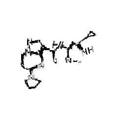 N=C(/C=C(\N)NC(=O)c1cnn2ccc(N3CCCC3)nc12)C1CC1